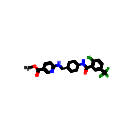 COC(=O)c1ccc(NC[C@H]2CC[C@H](NC(=O)c3cc(C(F)(F)F)ccc3Cl)CC2)nc1